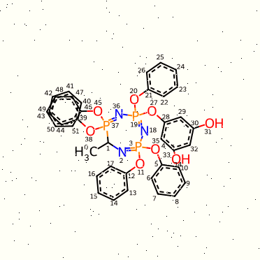 CC1N=P(Oc2ccccc2)(Oc2ccccc2)N=P(Oc2ccccc2)(Oc2cc(O)cc(O)c2)N=P1(Oc1ccccc1)Oc1ccccc1